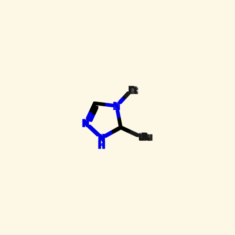 CCN1C=NNC1C(C)(C)C